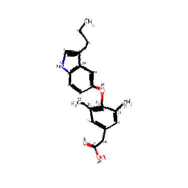 CCCc1c[nH]c2ccc(Oc3c(C)cc(CC(=O)O)cc3C)cc12